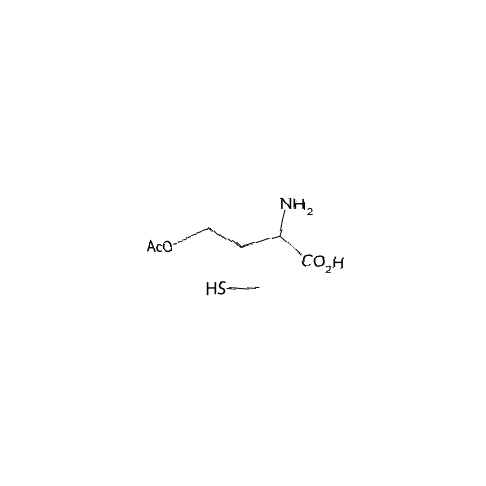 CC(=O)OCCC(N)C(=O)O.CS